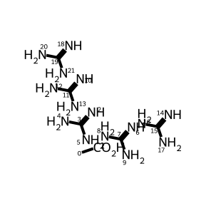 CC(=O)O.N=C(N)N.N=C(N)N.N=C(N)N.N=C(N)N.N=C(N)N